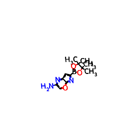 CC1(C)OB(c2cc3nc(N)coc-3n2)OC1(C)C